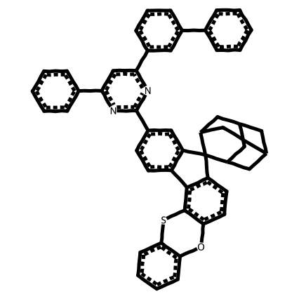 c1ccc(-c2cccc(-c3cc(-c4ccccc4)nc(-c4ccc5c(c4)C4(c6ccc7c(c6-5)Sc5ccccc5O7)C5CC6CC(C5)CC4C6)n3)c2)cc1